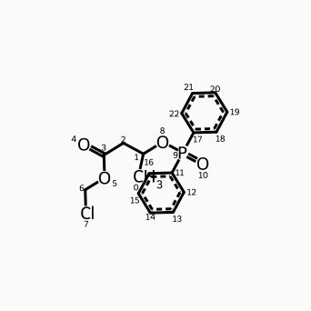 CC(CC(=O)OCCl)OP(=O)(c1ccccc1)c1ccccc1